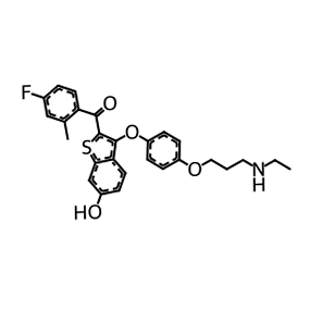 CCNCCCOc1ccc(Oc2c(C(=O)c3ccc(F)cc3C)sc3cc(O)ccc23)cc1